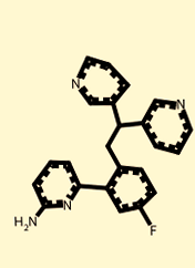 Nc1cccc(-c2cc(F)ccc2CC(c2cccnc2)c2cccnc2)n1